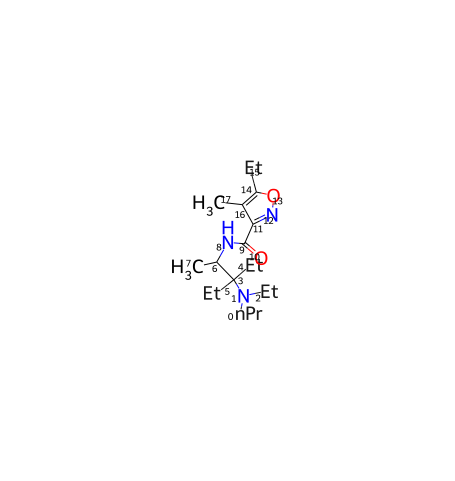 CCCN(CC)C(CC)(CC)C(C)NC(=O)c1noc(CC)c1C